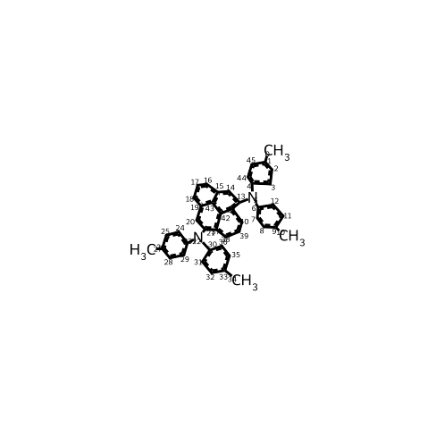 Cc1ccc(N(c2ccc(C)cc2)c2cc3cccc4cc(N(c5ccc(C)cc5)c5ccc(C)cc5)c5cccc2c5c34)cc1